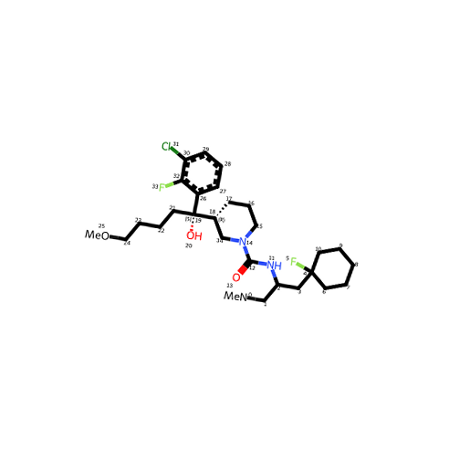 CNCC(CC1(F)CCCCC1)NC(=O)N1CCC[C@@H]([C@@](O)(CCCCOC)c2cccc(Cl)c2F)C1